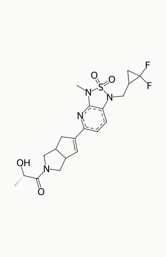 C[C@H](O)C(=O)N1CC2C=C(c3ccc4c(n3)N(C)S(=O)(=O)N4CC3CC3(F)F)CC2C1